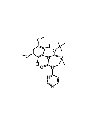 COc1cc(OC)c(Cl)c(N(C(=O)OC(C)(C)C)C(=O)N(c2c[c]ncn2)C2CC2)c1Cl